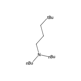 CCCCN(CCCC)CCCC(C)(C)C